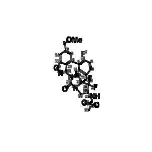 COCc1cc(-c2c(F)cccc2F)c2c(N3C[C@H]4N(C[C@@H](NS(C)(=O)=O)C4(F)F)C3=O)noc2c1